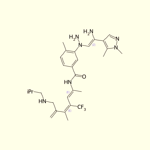 C=C(CNCC(C)C)/C(C)=C(\C=C(/C)NC(=O)c1ccc(C)c(N(N)/C=C(\N)c2cnn(C)c2C)c1)C(F)(F)F